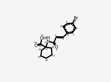 O=C(C=Cc1ccc(Br)cc1)NC1(C(=O)O)CCCCC1